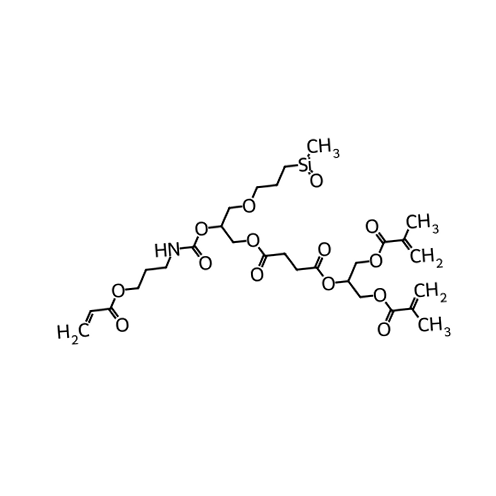 C=CC(=O)OCCCNC(=O)OC(COCCC[Si](C)=O)COC(=O)CCC(=O)OC(COC(=O)C(=C)C)COC(=O)C(=C)C